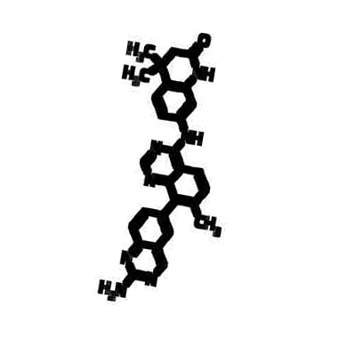 Cc1ccc2c(Nc3ccc4c(c3)NC(=O)CC4(C)C)ncnc2c1-c1ccc2nc(N)ncc2c1